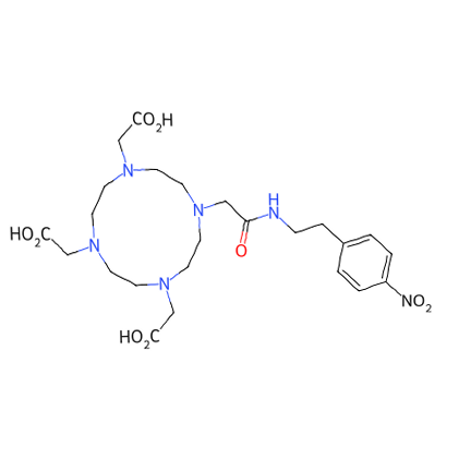 O=C(O)CN1CCN(CC(=O)O)CCN(CC(=O)NCCc2ccc([N+](=O)[O-])cc2)CCN(CC(=O)O)CC1